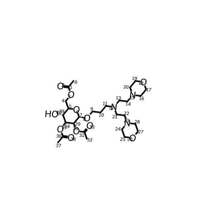 CC(=O)OCC1O[C@@H](OCCCN(CCN2CCOCC2)CCN2CCOCC2)C(OC(C)=O)C(OC(C)=O)[C@@H]1O